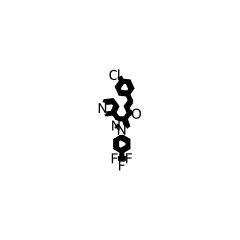 O=C(C=Cc1ccc(Cl)cc1)c1cn(-c2ccc(C(F)(F)F)cc2)nc1-c1cccnc1